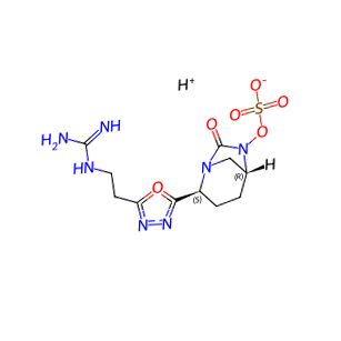 N=C(N)NCCc1nnc([C@@H]2CC[C@@H]3CN2C(=O)N3OS(=O)(=O)[O-])o1.[H+]